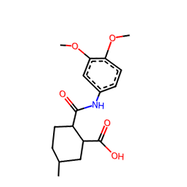 COc1ccc(NC(=O)C2CCC(C)CC2C(=O)O)cc1OC